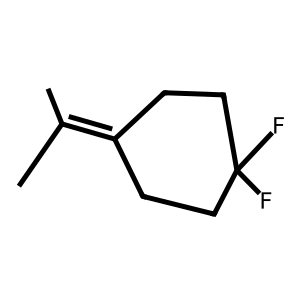 CC(C)=C1CCC(F)(F)CC1